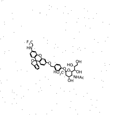 CC(=O)N[C@H]1[C@H]([C@H](O)[C@H](O)CO)O[C@@](Oc2ccc(COc3ccc4c(c3)Oc3cc(NCC(F)(F)F)ccc3C43OCc4ccccc43)cc2)(C(=O)O)C[C@@H]1O